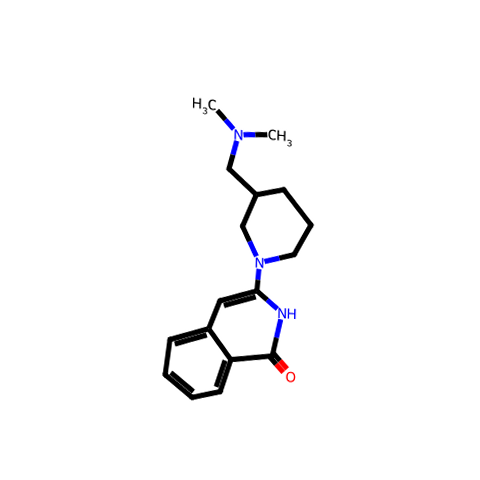 CN(C)CC1CCCN(c2cc3ccccc3c(=O)[nH]2)C1